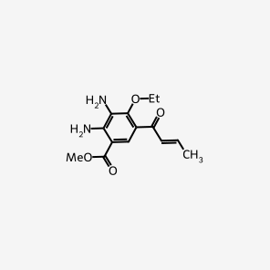 C/C=C/C(=O)c1cc(C(=O)OC)c(N)c(N)c1OCC